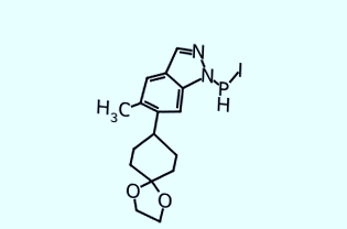 Cc1cc2cnn(PI)c2cc1C1CCC2(CC1)OCCO2